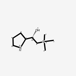 C[Si](C)(C)C[C@@H](O)C1CCCN1